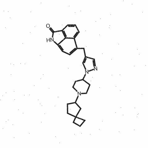 O=C1Nc2ccc(Cc3cnn(C4CCN(C5CCC6(CCC6)C5)CC4)c3)c3cccc1c23